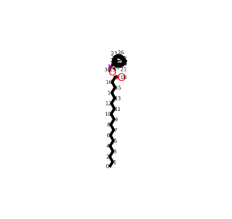 CCCCCCCCCCCCCCCCCC(=O)O[C]12[CH]3[CH]4[CH]5[CH]1[Fe]45321678[CH]2[CH]1[CH]6[C]7(I)[CH]28